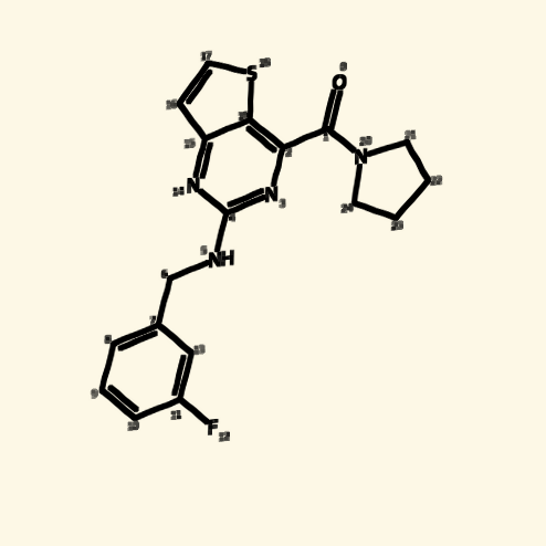 O=C(c1nc(NCc2cccc(F)c2)nc2ccsc12)N1CCCC1